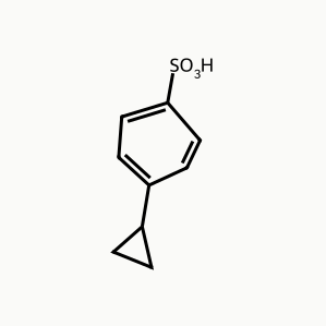 O=S(=O)(O)c1ccc(C2CC2)cc1